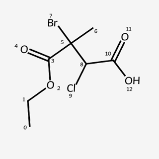 CCOC(=O)C(C)(Br)C(Cl)C(=O)O